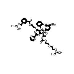 COc1ccccc1Oc1c(OCCOC(=O)c2cccc(CON(O)O)c2)nc(-c2ncccn2)nc1N(C(C)OC(=O)OCCOCCON(O)O)S(=O)(=O)c1ccc(C(C)(C)C)cc1